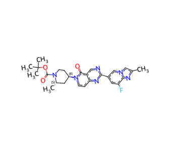 Cc1cn2cc(-c3ncc4c(=O)n([C@@H]5CCN(C(=O)OC(C)(C)C)[C@@H](C)C5)ccc4n3)cc(F)c2n1